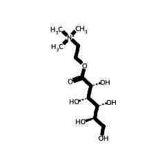 C[N+](C)(C)CCOC(=O)[C@H](O)[C@@H](O)[C@H](O)[C@H](O)CO